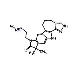 CC(=O)/N=C/CCN1C(=O)C(C)(C)c2cc3[nH]c4c(c3cc21)CCCc1c[nH]nc1-4